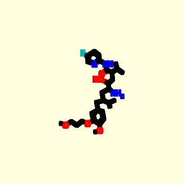 COCCCOc1cc(CC(CC(N)C(O)CC(C(=O)Nc2ccc(F)cn2)C(C)C)C(C)C)ccc1OC